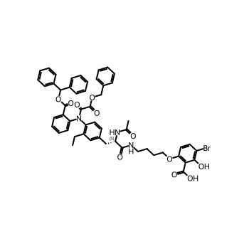 CCc1cc(C[C@H](NC(C)=O)C(=O)NCCCCOc2ccc(Br)c(O)c2C(=O)O)ccc1N(C(=O)C(=O)OCc1ccccc1)c1ccccc1C(=O)OC(c1ccccc1)c1ccccc1